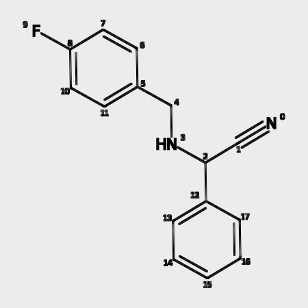 N#CC(NCc1ccc(F)cc1)c1ccccc1